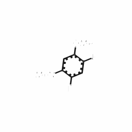 CNc1cc(OC)c(F)cc1F